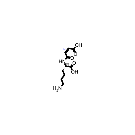 NCCCC[C@H](NC(=O)/C=C\C(=O)O)C(=O)O